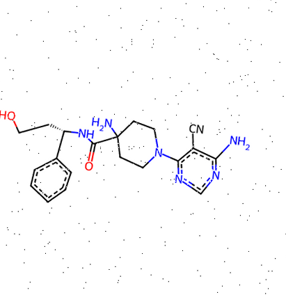 N#Cc1c(N)ncnc1N1CCC(N)(C(=O)N[C@@H](CCO)c2ccccc2)CC1